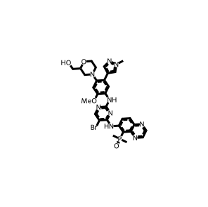 COc1cc(N2CCOC(CO)C2)c(-c2cnn(C)c2)cc1Nc1ncc(Br)c(Nc2ccc3nccnc3c2P(C)(C)=O)n1